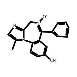 Cc1cnc2n1-c1ccc(C#N)cc1C(c1ccccc1)=[N+]([O-])C2